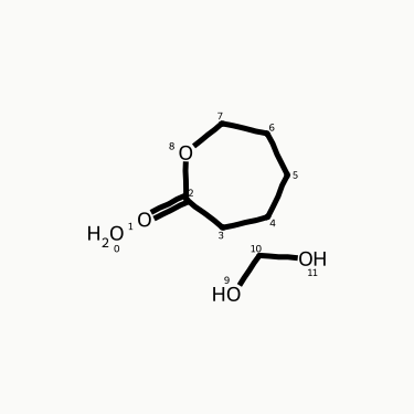 O.O=C1CCCCCO1.OCO